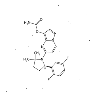 CC1(C)CC[C@H](c2cc(F)ccc2F)N1c1ccn2ncc(OC(N)=O)c2n1